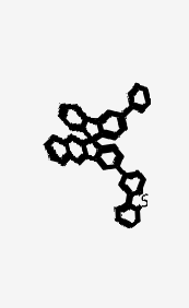 c1ccc(-c2ccc3c(c2)-c2ccccc2C32c3ccc(-c4ccc5sc6ccccc6c5c4)cc3-c3cc4ccccc4cc32)cc1